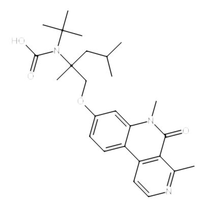 Cc1nccc2c1c(=O)n(C)c1cc(OCC(C)(CC(C)C)N(C(=O)O)C(C)(C)C)ccc21